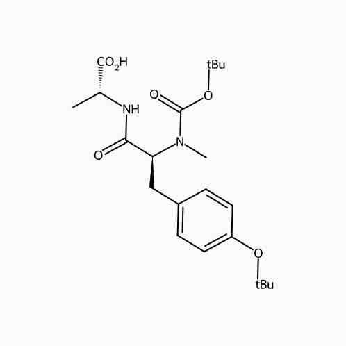 C[C@@H](NC(=O)[C@H](Cc1ccc(OC(C)(C)C)cc1)N(C)C(=O)OC(C)(C)C)C(=O)O